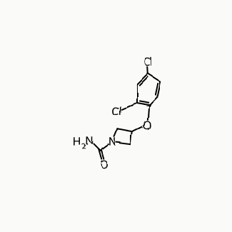 NC(=O)N1CC(Oc2ccc(Cl)cc2Cl)C1